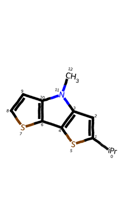 CC(C)c1cc2c(s1)c1sccc1n2C